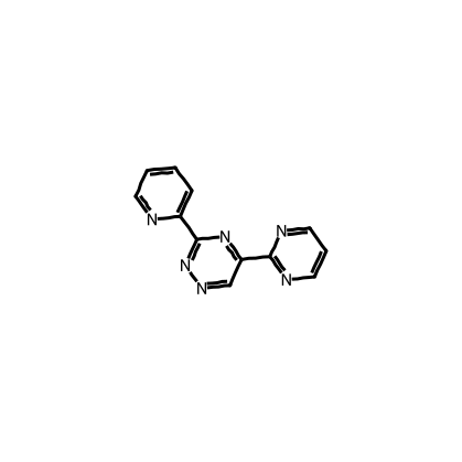 c1ccc(-c2nncc(-c3ncccn3)n2)nc1